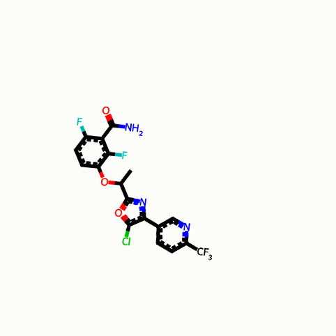 CC(Oc1ccc(F)c(C(N)=O)c1F)c1nc(-c2ccc(C(F)(F)F)nc2)c(Cl)o1